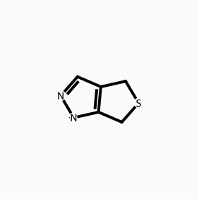 C1=N[N]C2=C1CSC2